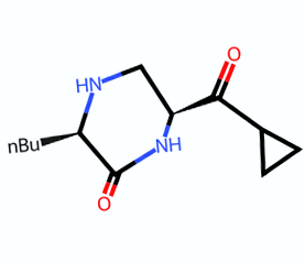 CCCC[C@H]1NC[C@@H](C(=O)C2CC2)NC1=O